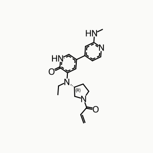 C=CC(=O)N1CC[C@@H](N(CC)c2cc(-c3ccnc(NC)c3)c[nH]c2=O)C1